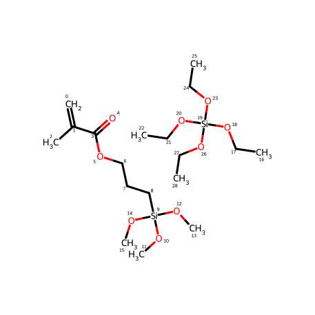 C=C(C)C(=O)OCCC[Si](OC)(OC)OC.CCO[Si](OCC)(OCC)OCC